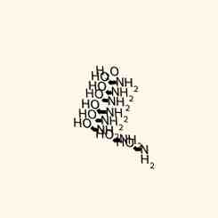 NCO.NCO.NCO.NCO.NCO.NCO.NCO.NCO.O